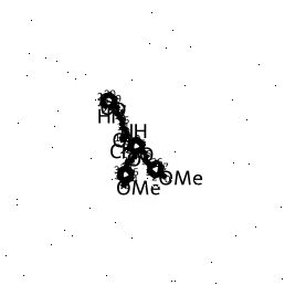 COc1ccc(COc2ccc(C(=O)NCCNOC3CCCCO3)c(Cl)c2OCc2ccc(OC)cc2)cc1